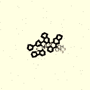 CC1(C)c2cc3ccccc3cc2N2c3cc4ccccc4c4c3B(c3cccc1c32)N(c1cccc2c1sc1ccccc12)c1cc(-c2ccccc2)ccc1-4